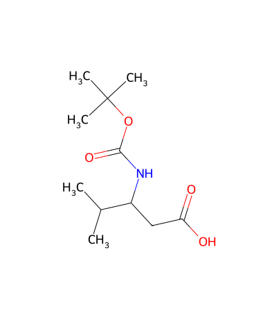 CC(C)C(CC(=O)O)NC(=O)OC(C)(C)C